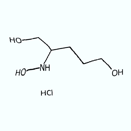 Cl.OCCCC(CO)NO